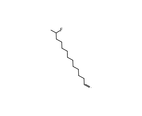 [CH]=CCCCCCCCCCCC(C)F